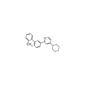 Cc1ccccc1-c1cccc(-c2cc(C3CCCCC3)ccn2)c1